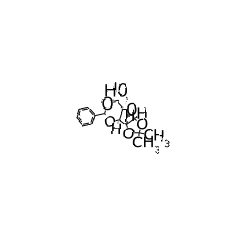 CC1(C)O[C@H]2O[C@]3(CO)COC(c4ccccc4)O[C@@H]3[C@H]2O1